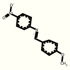 COc1ccc(/C=N/c2ccc([N+](=O)[O-])cc2)cc1